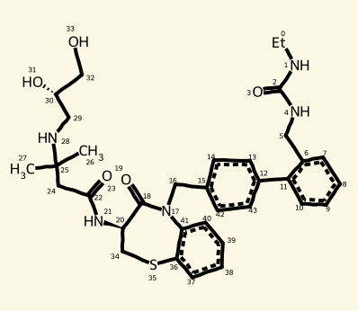 CCNC(=O)NCc1ccccc1-c1ccc(CN2C(=O)[C@H](NC(=O)CC(C)(C)NC[C@H](O)CO)CSc3ccccc32)cc1